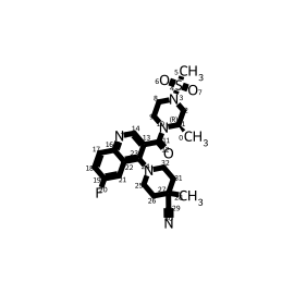 C[C@@H]1CN(S(C)(=O)=O)CCN1C(=O)c1cnc2ccc(F)cc2c1N1CCC(C)(C#N)CC1